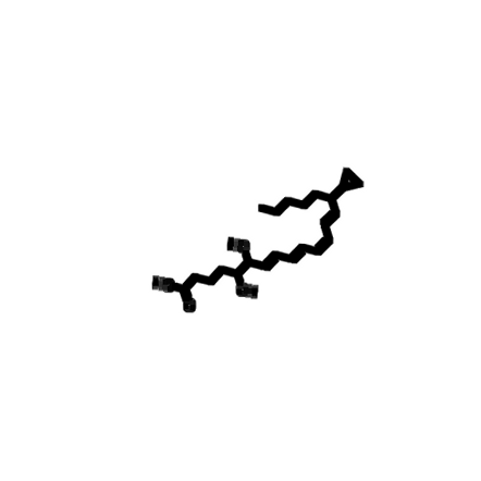 CCCCCC(/C=C/C=C\C=C\C=C\C(O)C(O)CCCC(=O)O)C1CC1